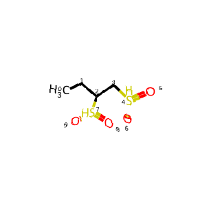 CCC(C[SH](=O)=O)[SH](=O)=O